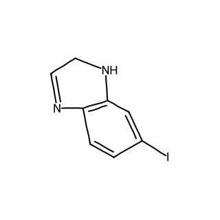 Ic1ccc2c(c1)NCC=N2